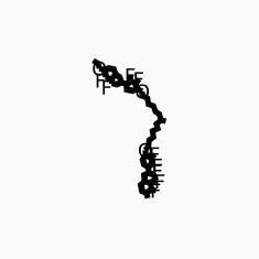 CCOc1ccc2cc(-c3ccc(OCCCCCCC(C)CCCCCCOc4ccc(-c5cc6ccc(C)c(F)c6c(F)c5F)c(F)c4F)c(F)c3F)cc(F)c2c1F